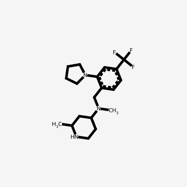 CC1CC(N(C)Cc2ccc(C(F)(F)F)cc2N2CCCC2)CCN1